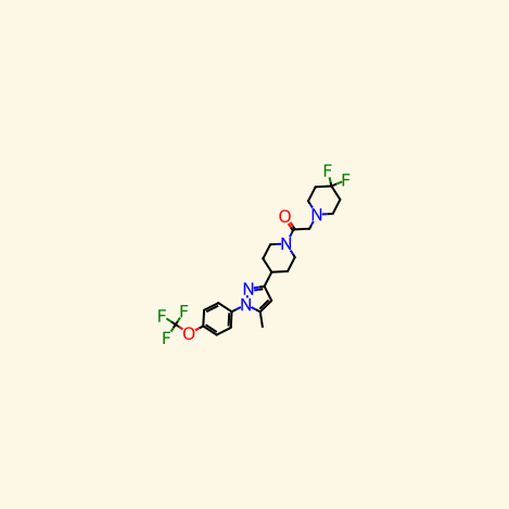 Cc1cc(C2CCN(C(=O)CN3CCC(F)(F)CC3)CC2)nn1-c1ccc(OC(F)(F)F)cc1